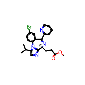 COC(=O)CC[C@@H]1N=C(c2ccccn2)c2cc(Br)ccc2-n2c(C(C)C)cnc21